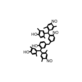 Cc1cc(C(c2cc(C)c(N=O)cc2C)c2cc(Cc3ccc(N=O)c(C(c4cc(C)c(O)cc4C)c4cc(C)c(N=O)cc4C)c3)ccc2O)c(C)cc1O